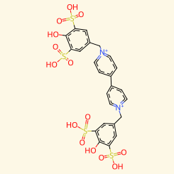 O=S(=O)(O)c1cc(C[n+]2ccc(-c3cc[n+](Cc4cc(S(=O)(=O)O)c(O)c(S(=O)(=O)O)c4)cc3)cc2)cc(S(=O)(=O)O)c1O